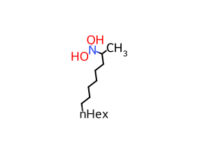 CCCCCCCCCCCCC(C)N(O)O